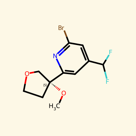 CO[C@]1(c2cc(C(F)F)cc(Br)n2)CCOC1